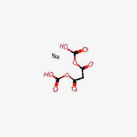 O=C(O)OC(=O)CC(=O)OC(=O)O.[Na]